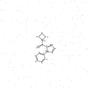 O=C(c1nccn1-c1ccccc1)N1CCC1